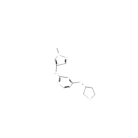 Cn1cc(Nc2nccc(N[C@H]3CCNC3)n2)cn1